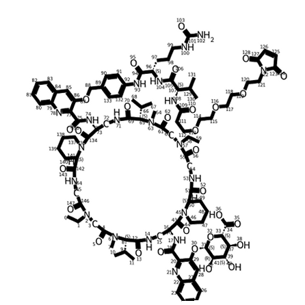 CCN1CC(=O)N(C)[C@@H](C(C)C)C(=O)NC[C@@H](NC(=O)c2nc3ccccc3cc2O[C@@H]2O[C@H](C(=O)O)[C@@H](O)[C@H](O)[C@H]2O)C(=O)N2CCCC[C@H]2C(=O)NCC(=O)N(CC)CC(=O)N(C)[C@@H](C(C)C)C(=O)NC[C@@H](NC(=O)c2nc3ccccc3cc2OCc2ccc(NC(=O)[C@H](CCCNC(N)=O)NC(=O)[C@@H](NC(=O)CCOCCOCCOCCN3C(=O)C=CC3=O)C(C)C)cc2)C(=O)N2CCCC[C@H]2C(=O)NCC1=O